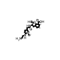 NCCNc1ccc(CC(=O)NC2Cc3cccc(C(=O)O)c3OB2O)c[n+]1[O-]